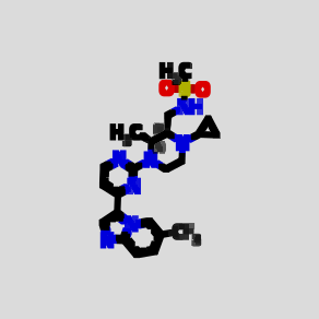 C[C@H]1[C@@H](CNS(C)(=O)=O)N(C2CC2)CCN1c1nccc(-c2cnc3ccc(C(F)(F)F)cn23)n1